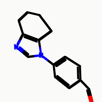 O=Cc1ccc(-n2cnc3c2CCCC3)cc1